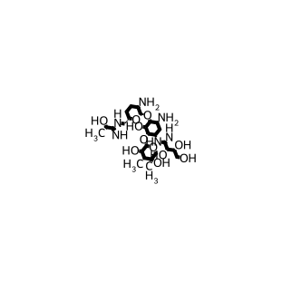 CC(O)C(=N)NC[C@@H]1CCC(N)[C@@H](OC2C(O)C(O[C@H]3OCC(C)(O)[C@H](C)C3O)[C@H](NC(=N)C(O)C(O)CO)C[C@@H]2N)O1